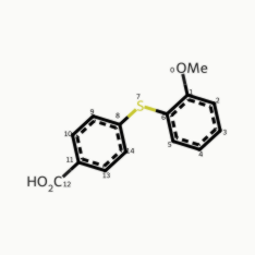 COc1ccccc1Sc1ccc(C(=O)O)cc1